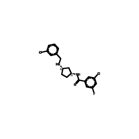 O=C(N[C@@H]1CC[C@H](NCc2cccc(Cl)c2)C1)c1cc(F)cc(Cl)c1